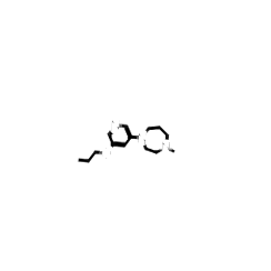 CCCOc1cncc(N2CCCN(C)CC2)c1